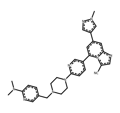 CN(C)c1ccc(CN2CCN(c3ccc(-c4cc(-c5cnn(C)c5)cc5ncc(C#N)n45)cn3)CC2)cn1